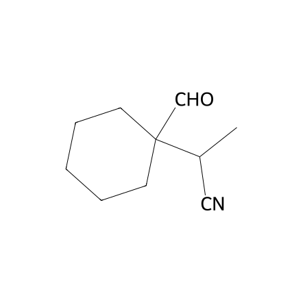 CC(C#N)C1(C=O)CCCCC1